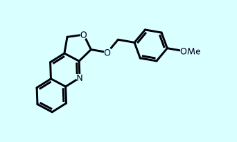 COc1ccc(COC2OCc3cc4ccccc4nc32)cc1